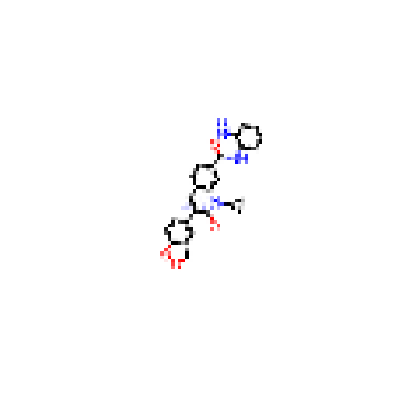 Nc1ccccc1NC(=O)c1ccc(/C=C(\C(=O)NC2CC2)c2ccc3c(c2)COO3)cc1